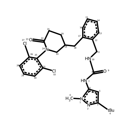 Cn1nc(C(C)(C)C)cc1NC(=O)NCc1ccccc1CC1CCC(=O)N(c2c(Cl)cccc2Cl)C1